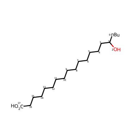 CCCCC(O)CCCCCCCCCCCCCCC(=O)O